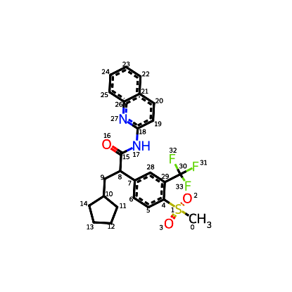 CS(=O)(=O)c1ccc(C(CC2CCCC2)C(=O)Nc2ccc3ccccc3n2)cc1C(F)(F)F